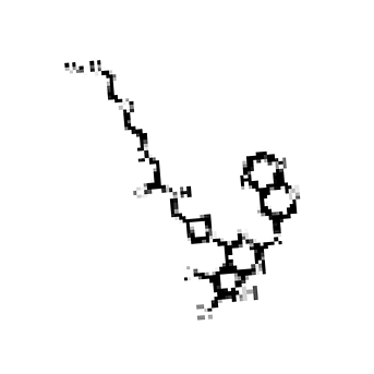 CCc1[nH]c2nc(Sc3cnc4nccnc4c3)nc(N3CC(CNC(=O)COCCOCCOC)C3)c2c1Cl